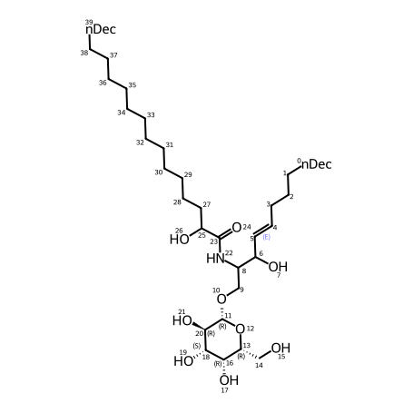 CCCCCCCCCCCCC/C=C/C(O)C(CO[C@@H]1O[C@H](CO)[C@H](O)[C@H](O)[C@H]1O)NC(=O)C(O)CCCCCCCCCCCCCCCCCCCCCC